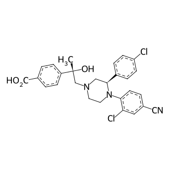 C[C@@](O)(CN1CCN(c2ccc(C#N)cc2Cl)[C@H](c2ccc(Cl)cc2)C1)c1ccc(C(=O)O)cc1